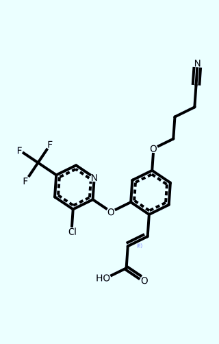 N#CCCCOc1ccc(/C=C/C(=O)O)c(Oc2ncc(C(F)(F)F)cc2Cl)c1